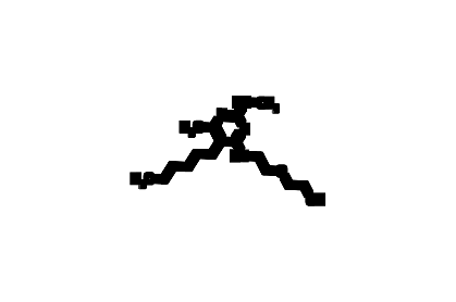 CCCCCCc1c(C)nc(NC)nc1NCCOCCO